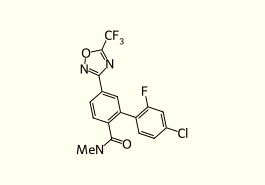 CNC(=O)c1ccc(-c2noc(C(F)(F)F)n2)cc1-c1ccc(Cl)cc1F